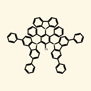 N#Cc1c(-n2c3ccc(-c4ccccc4)cc3c3cc(-c4ccccc4)ccc32)c(-c2ccccc2)c(-n2c3ccccc3c3ccccc32)c(-c2ccccc2)c1-n1c2ccc(-c3ccccc3)cc2c2cc(-c3ccccc3)ccc21